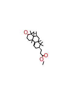 CCOC(=O)CC[C@H]1CC=C2C3(C)CCC(=O)C(C)(C)[C@@H]3CCC2(C)C1(C)C